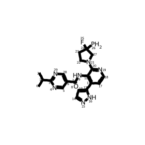 CC(C)c1ncc(C(=O)Nc2c(-c3ccn[nH]3)ccnc2N2CCC(F)(P)C2)cn1